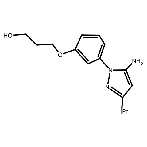 CC(C)c1cc(N)n(-c2cccc(OCCCO)c2)n1